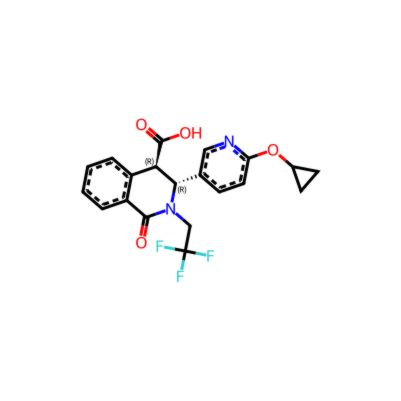 O=C(O)[C@@H]1c2ccccc2C(=O)N(CC(F)(F)F)[C@H]1c1ccc(OC2CC2)nc1